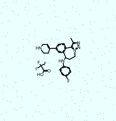 Cc1nnn2c1-c1ccc(C3=CCNCC3)cc1C(Nc1ccc(F)cc1)CC2.O=C(O)C(F)(F)F